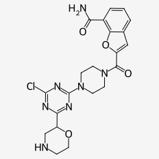 NC(=O)c1cccc2cc(C(=O)N3CCN(c4nc(Cl)nc(C5CNCCO5)n4)CC3)oc12